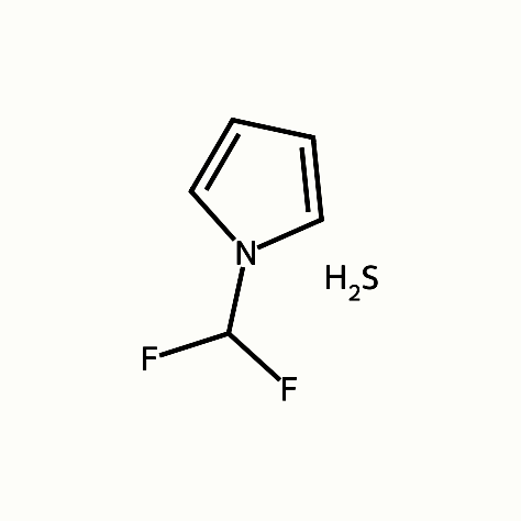 FC(F)n1cccc1.S